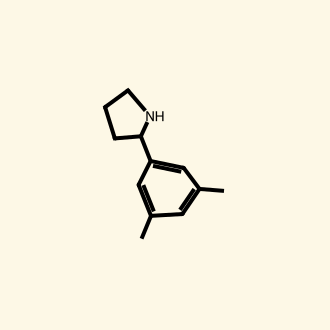 Cc1cc(C)cc(C2CCCN2)c1